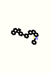 CC1(C)c2cc(-c3cccc(-c4ccc5ccc6ccc7nc(-c8ccccc8)sc7c6c5c4)c3)ccc2-c2c1ccc1ccccc21